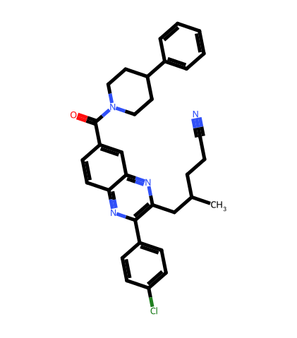 CC(CCC#N)Cc1nc2cc(C(=O)N3CCC(c4ccccc4)CC3)ccc2nc1-c1ccc(Cl)cc1